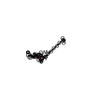 CC[C@H](C)[C@@H]([C@@H](CC(=O)N1CCC[C@H]1[C@H](OC)[C@@H](C)C(=O)N[C@@H](Cc1ccccc1)C(=O)OC)OC)N(C)[C@H](C(=O)NC(=O)[C@]1(C)CCCN1C(=O)CCOCCOCCOCCOCCOCCOCCN1C(=O)C=CC1=O)C(C)C